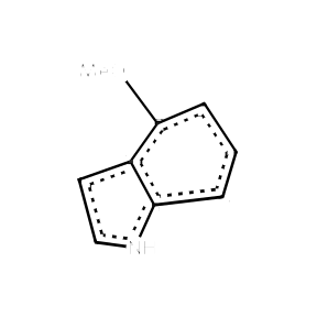 COc1cc[c]c2[nH]ccc12